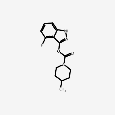 CC1CCN(C(=O)Oc2n[nH]c3cccc(F)c23)CC1